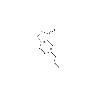 C=CCc1ccc2c(c1)C(=O)CC2